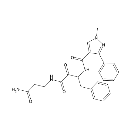 Cn1cc(C(=O)NC(Cc2ccccc2)C(=O)C(=O)NCCC(N)=O)c(-c2ccccc2)n1